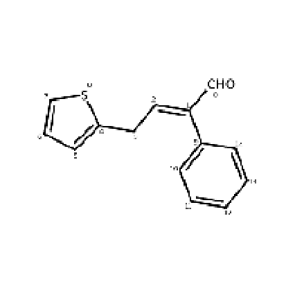 O=C/C(=C/Cc1cccs1)c1ccccc1